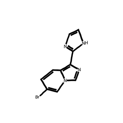 Brc1ccc2c(-c3ncc[nH]3)ncn2c1